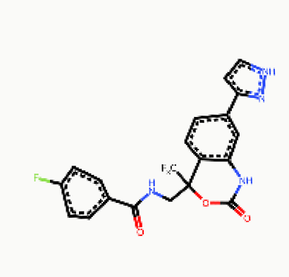 O=C1Nc2cc(-c3cc[nH]n3)ccc2C(CNC(=O)c2ccc(F)cc2)(C(F)(F)F)O1